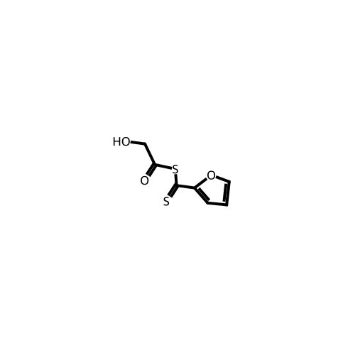 O=C(CO)SC(=S)c1ccco1